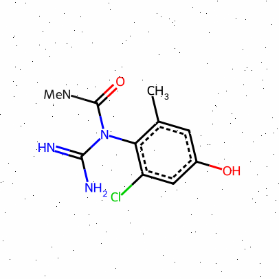 CNC(=O)N(C(=N)N)c1c(C)cc(O)cc1Cl